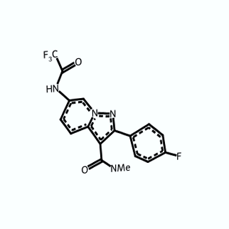 CNC(=O)c1c(-c2ccc(F)cc2)nn2cc(NC(=O)C(F)(F)F)ccc12